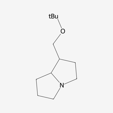 CC(C)(C)OCC1CCN2CCCC12